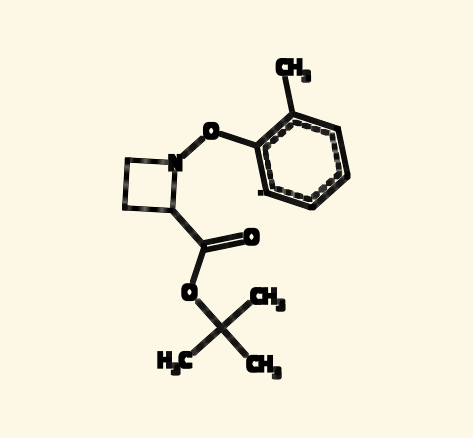 Cc1ccc[c]c1ON1CCC1C(=O)OC(C)(C)C